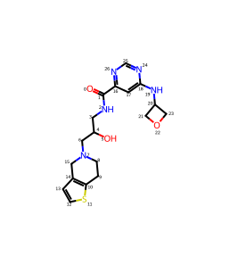 O=C(NCC(O)CN1CCc2sccc2C1)c1cc(NC2COC2)ncn1